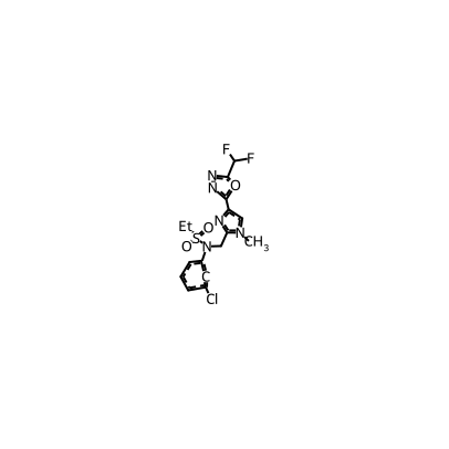 CCS(=O)(=O)N(Cc1nc(-c2nnc(C(F)F)o2)cn1C)c1cccc(Cl)c1